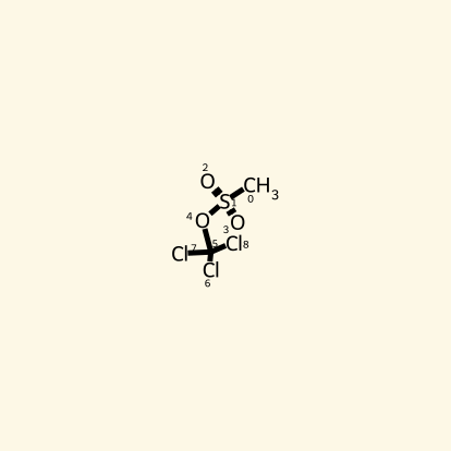 CS(=O)(=O)OC(Cl)(Cl)Cl